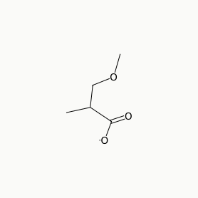 COCC(C)C([O])=O